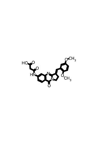 COc1ccc(OC)c(C=C2CCn3c2nc2cc(NC(=O)CC(=O)O)ccc2c3=O)c1